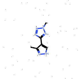 Cc1n[nH][c]c1-c1nnn(C)n1